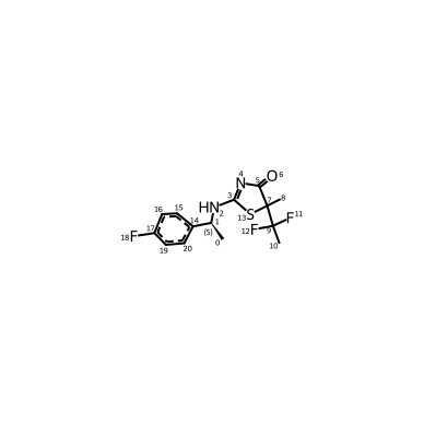 C[C@H](NC1=NC(=O)C(C)(C(C)(F)F)S1)c1ccc(F)cc1